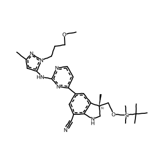 COCCCn1nc(C)cc1Nc1nccc(-c2cc(C#N)c3c(c2)[C@](C)(CO[Si](C)(C)C(C)(C)C)CN3)n1